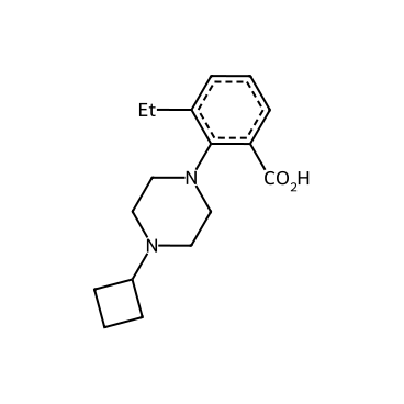 CCc1cccc(C(=O)O)c1N1CCN(C2CCC2)CC1